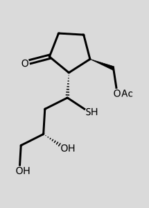 CC(=O)OC[C@@H]1CCC(=O)[C@H]1C(S)C[C@H](O)CO